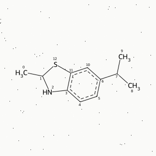 CC1Nc2ccc(C(C)C)cc2S1